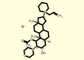 C=CC[N+]1([C@H]2CC3C4CC[C@H]5C[C@H](O)[C@@H](N6CCOCC6)C(OC(C)=O)[C@]5(C)C4CC[C@]3(C)C2)CCCCC1.[Br-]